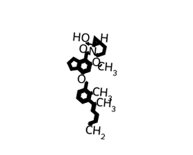 C=C/C=C\C=C(/C)c1cccc(COc2cc(OC)c(CN3CCC[C@H]4C[C@]43C(=O)O)c3c2CCC3)c1C